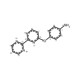 Nc1ccc(Oc2ccnc(-c3ncccn3)n2)cc1